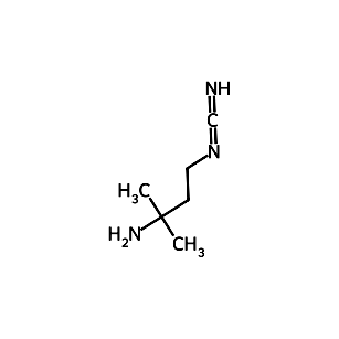 CC(C)(N)CCN=C=N